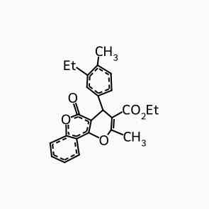 CCOC(=O)C1=C(C)Oc2c(c(=O)oc3ccccc23)C1c1ccc(C)c(CC)c1